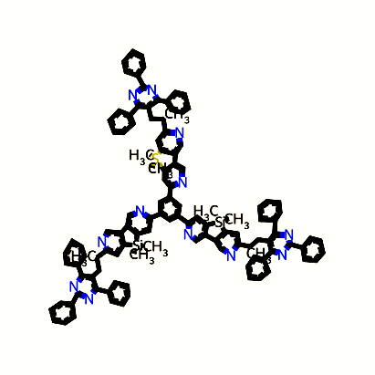 CC(Cc1c(-c2ccccc2)nc(-c2ccccc2)nc1-c1ccccc1)c1cc2c(cn1)-c1cnc(-c3cc(-c4cc5c(cn4)-c4cnc(C(C)Cc6c(-c7ccccc7)nc(-c7ccccc7)nc6-c6ccccc6)cc4[Si]5(C)C)cc(-c4cc5c(cn4)-c4cnc(C(C)Cc6c(-c7ccccc7)nc(-c7ccccc7)nc6-c6ccccc6)cc4S5(C)C)c3)cc1[Si]2(C)C